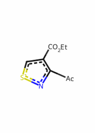 CCOC(=O)c1csnc1C(C)=O